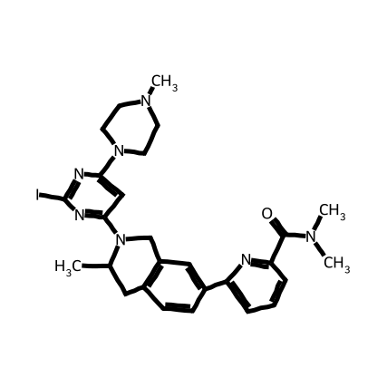 CC1Cc2ccc(-c3cccc(C(=O)N(C)C)n3)cc2CN1c1cc(N2CCN(C)CC2)nc(I)n1